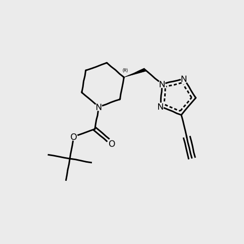 C#Cc1cnn(C[C@@H]2CCCN(C(=O)OC(C)(C)C)C2)n1